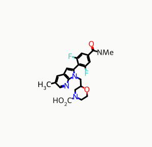 CNC(=O)c1cc(F)c(-c2cc3cc(C)cnc3n2CC2CN(C(=O)O)CCO2)c(F)c1